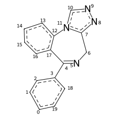 c1ccc(C2=NCc3nncn3-c3ccccc32)cc1